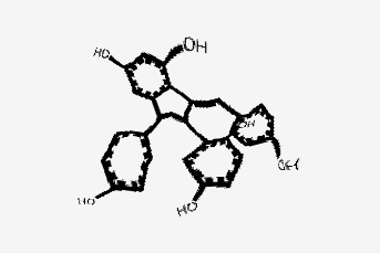 Oc1ccc(/C=C2/c3c(O)cc(O)cc3C(c3ccc(O)cc3)C2c2cc(O)ccc2O)cc1